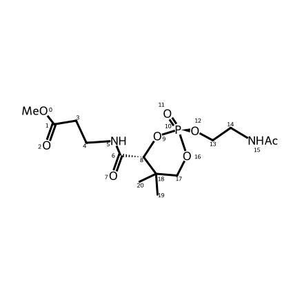 COC(=O)CCNC(=O)[C@@H]1O[P@@](=O)(OCCNC(C)=O)OCC1(C)C